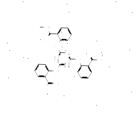 COC(=O)c1ccccc1Oc1nc(Oc2ccccc2C(=O)OC)nc(Oc2ccccc2C(=O)OC)n1